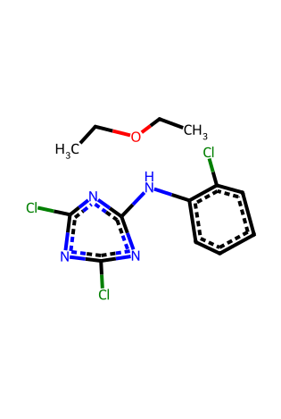 CCOCC.Clc1nc(Cl)nc(Nc2ccccc2Cl)n1